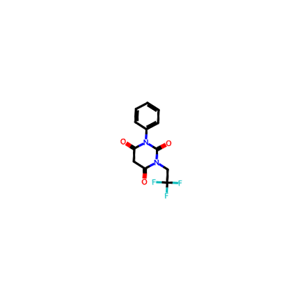 O=C1CC(=O)N(c2ccccc2)C(=O)N1CC(F)(F)F